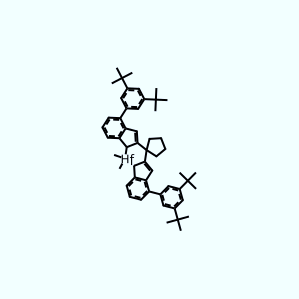 CC(C)(C)c1cc(-c2cccc3c2C=C2[CH]3[Hf]([CH3])([CH3])[CH]3C(=Cc4c(-c5cc(C(C)(C)C)cc(C(C)(C)C)c5)cccc43)C23CCCC3)cc(C(C)(C)C)c1